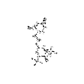 CC(C)(C)C1=CC(=CN=Nc2ccc(Br)cc2Br)C=C(C(C)(C)C)C1=O